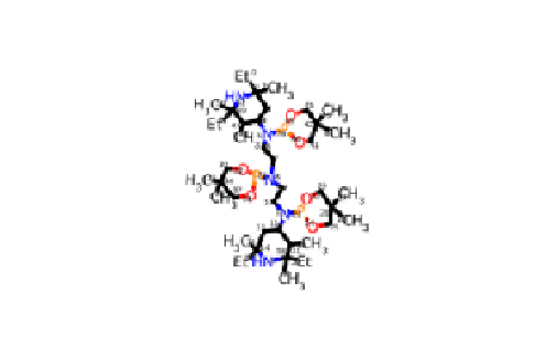 CCC1(C)CC(N(CCN(CCN(C2CC(C)(CC)NC(C)(CC)C2C)P2OCC(C)(C)CO2)P2OCC(C)(C)CO2)P2OCC(C)(C)CO2)C(C)C(C)(CC)N1